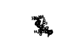 CCO[C@](OC(C)=O)(C(=O)NCc1ccc(C(=N)N)cc1)N1Cc2c(F)cccc2C1=O